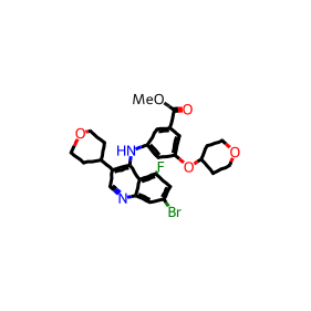 COC(=O)c1cc(Nc2c(C3CCOCC3)cnc3cc(Br)cc(F)c23)cc(OC2CCOCC2)c1